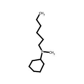 CCCCCCP(C)C1CCCCC1